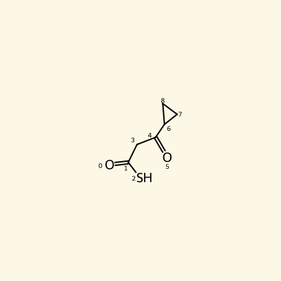 O=C(S)CC(=O)C1CC1